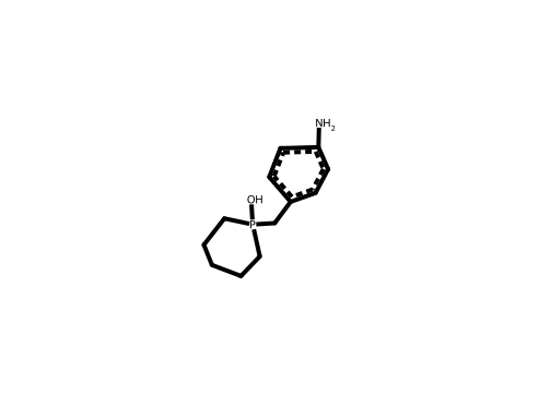 Nc1ccc(C[P]2(O)CCCCC2)cc1